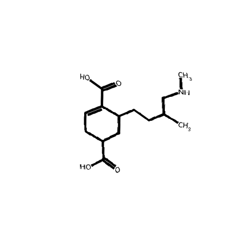 CNCC(C)CCC1CC(C(=O)O)CC=C1C(=O)O